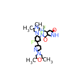 CC1CN(c2ccc(-c3cc(NC(=O)c4c[nH]c(=O)cc4C(F)F)c(N4CCN(C)C(C)C4)cc3F)cn2)CC(C)O1